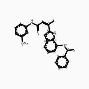 COc1cccc(NC(=O)/C=C(/C)c2cc3cccc(OC(C)c4ccccc4)c3o2)c1